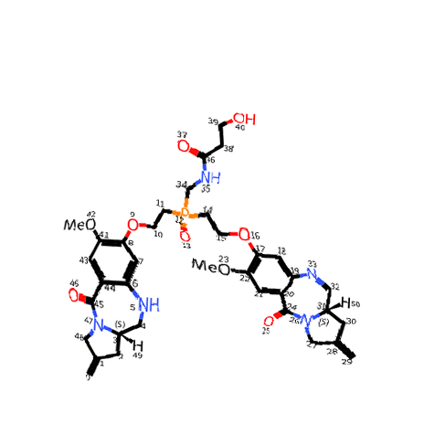 C=C1C[C@H]2CNc3cc(OCCP(=O)(CCOc4cc5c(cc4OC)C(=O)N4CC(=C)C[C@H]4C=N5)CNC(=O)CCO)c(OC)cc3C(=O)N2C1